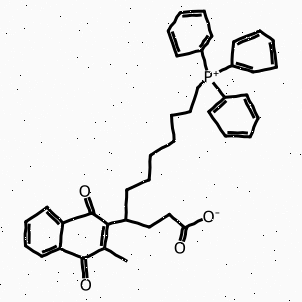 CC1=C(C(CCCCCCC[P+](c2ccccc2)(c2ccccc2)c2ccccc2)CCC(=O)[O-])C(=O)c2ccccc2C1=O